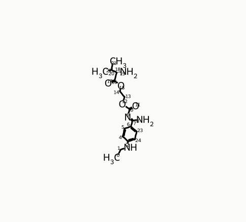 CCNc1ccc(/C(N)=N/C(=O)OCCOC(=O)[C@@H](N)C(C)C)cc1